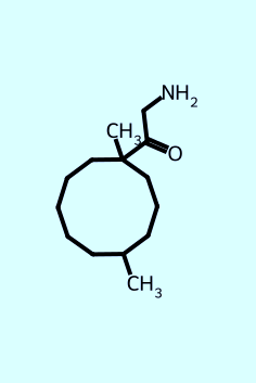 CC1CCCCCC(C)(C(=O)CN)CCC1